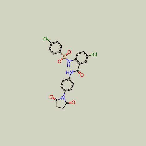 O=C(Nc1ccc(N2C(=O)CCC2=O)cc1)c1cc(Cl)ccc1NS(=O)(=O)c1ccc(Cl)cc1